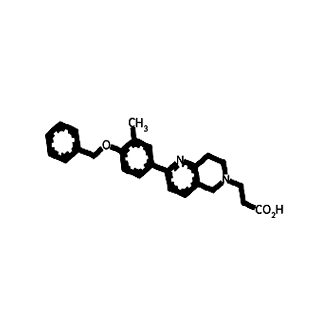 Cc1cc(-c2ccc3c(n2)CCN(CCC(=O)O)C3)ccc1OCc1ccccc1